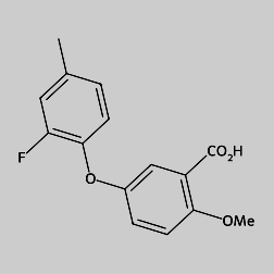 COc1ccc(Oc2ccc(C)cc2F)cc1C(=O)O